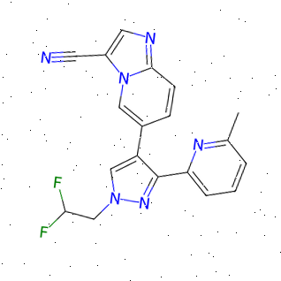 Cc1cccc(-c2nn(CC(F)F)cc2-c2ccc3ncc(C#N)n3c2)n1